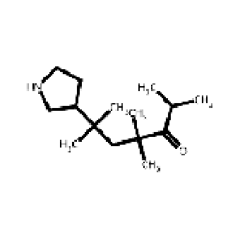 CC(C)C(=O)C(C)(C)CC(C)(C)C1CCNC1